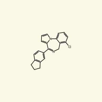 Clc1cccc2c1CN=C(c1ccc3c(c1)CCC3)c1cccn1-2